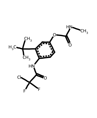 CNC(=O)Oc1ccc(NC(=O)C(F)(F)Cl)c(C(C)(C)C)c1